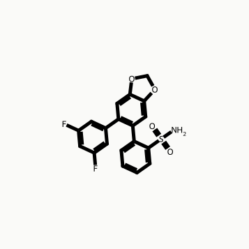 NS(=O)(=O)c1ccccc1-c1cc2c(cc1-c1cc(F)cc(F)c1)OCO2